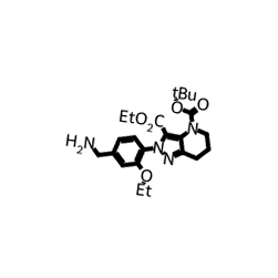 CCOC(=O)c1c2c(nn1-c1ccc(CN)cc1OCC)CCCN2C(=O)OC(C)(C)C